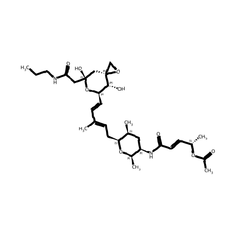 CCCNC(=O)C[C@]1(O)C[C@@]2(CO2)[C@H](O)[C@@H](C=CC(C)=CC[C@@H]2O[C@H](C)[C@H](NC(=O)C=C[C@H](C)OC(C)=O)C[C@@H]2C)O1